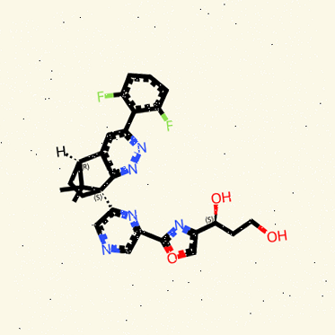 CC1(C)[C@H]2CC[C@]1(c1cncc(-c3nc([C@@H](O)CCO)co3)n1)c1nnc(-c3c(F)cccc3F)cc12